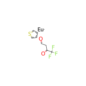 O=CCC(=O)C(F)(F)F.[Eu].c1ccsc1